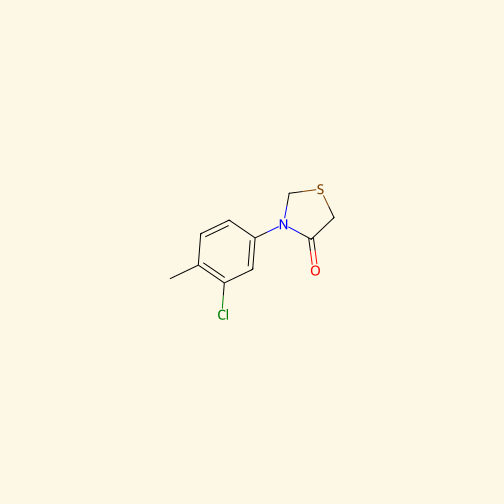 Cc1ccc(N2CSCC2=O)cc1Cl